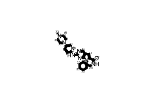 C[C@@H]1CN(c2ccc(Nc3ncc4cc5n(c4n3)C3(CCCCC3)CNC5=O)nc2)CCN1C